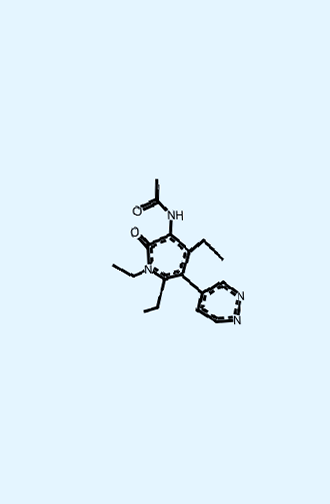 CCc1c(-c2ccnnc2)c(CC)n(CC)c(=O)c1NC(C)=O